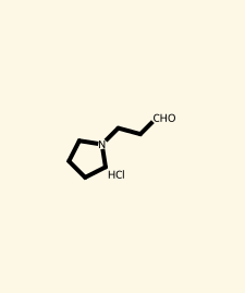 Cl.O=CCCN1CCCC1